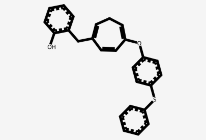 Oc1ccccc1CC1=CCC=C(Oc2ccc(Sc3ccccc3)cc2)C=C1